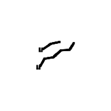 [Li][CH2]C.[Li][CH2]CCCC